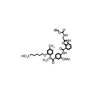 COc1cc(C(=O)N(C)c2ccc(C)cc2OCCCCCC(=O)O)ccc1NC(=O)c1cccc2[nH]c(CNC(=O)OC(C)(C)C)nc12